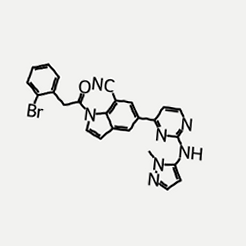 Cn1nccc1Nc1nccc(-c2cc(C#N)c3c(ccn3C(=O)Cc3ccccc3Br)c2)n1